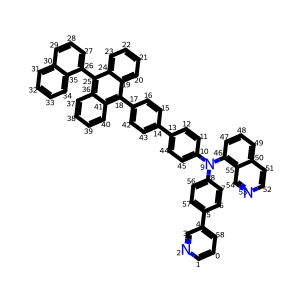 c1cncc(-c2ccc(N(c3ccc(-c4ccc(-c5c6ccccc6c(-c6cccc7ccccc67)c6ccccc56)cc4)cc3)c3cccc4ccncc34)cc2)c1